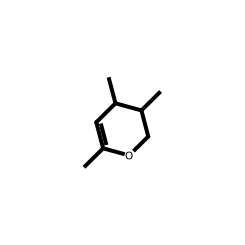 CC1=CC(C)C(C)CO1